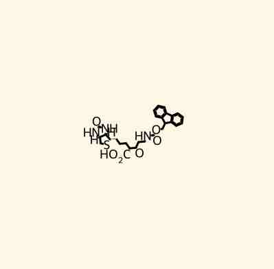 O=C1N[C@H]2[C@H](CS[C@H]2CCCC(C(=O)O)C(=O)CCNC(=O)OCC2c3ccccc3-c3ccccc32)N1